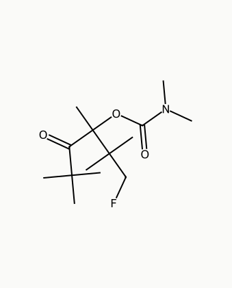 CN(C)C(=O)OC(C)(C(=O)C(C)(C)C)C(C)(C)CF